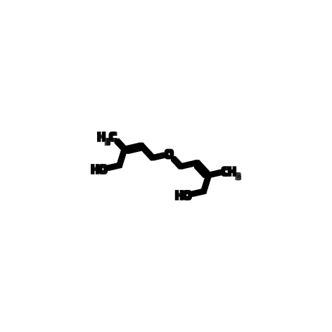 CC(=CCOCC=C(C)CO)CO